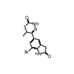 CC1SC(=O)NN=C1c1cc(Br)c2c(c1)CC(=O)N2